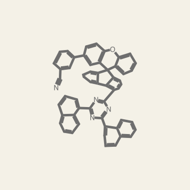 N#Cc1cccc(-c2ccc3c(c2)C2(c4ccccc4O3)c3ccccc3-c3c(-c4nc(-c5cccc6ccccc56)nc(-c5cccc6ccccc56)n4)cccc32)c1